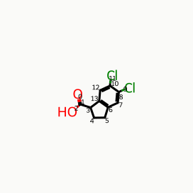 O=C(O)C1CCc2cc(Cl)c(Cl)cc21